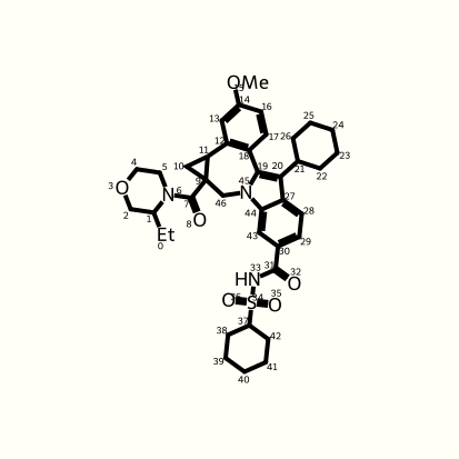 CCC1COCCN1C(=O)C12CC1c1cc(OC)ccc1-c1c(C3CCCCC3)c3ccc(C(=O)NS(=O)(=O)C4CCCCC4)cc3n1C2